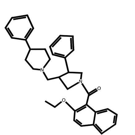 CCOc1ccc2ccccc2c1C(=O)N1CC(CN2CCC(c3ccccc3)CC2)C(c2ccccc2)C1